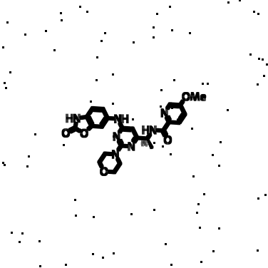 COc1ccc(C(=O)N[C@@H](C)c2cc(Nc3ccc4[nH]c(=O)oc4c3)nc(N3CCOCC3)n2)nc1